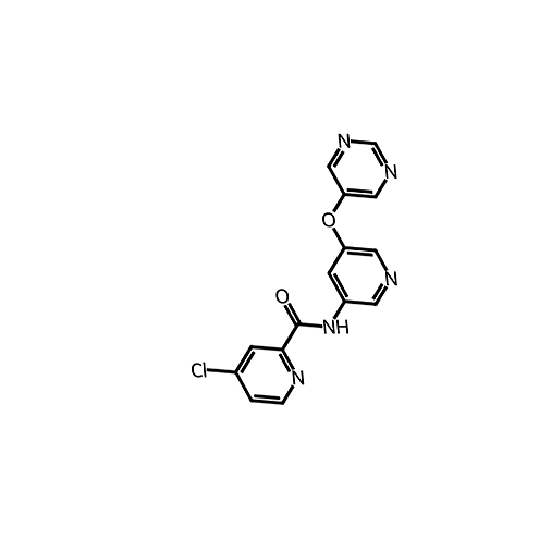 O=C(Nc1cncc(Oc2cncnc2)c1)c1cc(Cl)ccn1